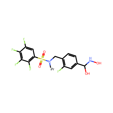 CC(C)N(Cc1ccc(C(O)NO)cc1F)S(=O)(=O)c1cc(F)c(F)c(F)c1F